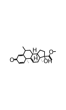 C=C(OC)[C@@]1(O)CC[C@H]2[C@@H]3CC(C)C4=CC(=O)C=C[C@]4(C)C3=CC[C@@]21C